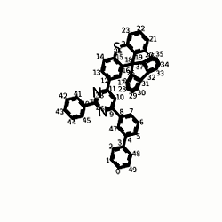 c1ccc(-c2cccc(-c3cc(-c4ccc5c(c4)C4(c6ccccc6S5)c5ccccc5-c5ccccc54)nc(-c4ccccc4)n3)c2)cc1